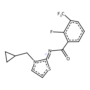 O=C(/N=c1\sccn1CC1CC1)c1cccc(C(F)(F)F)c1F